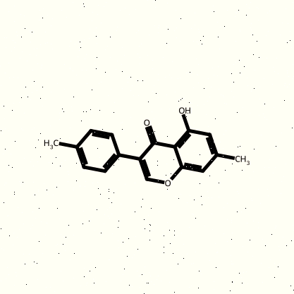 Cc1ccc(-c2coc3cc(C)cc(O)c3c2=O)cc1